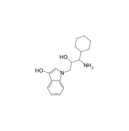 NC(C(O)Cn1cc(O)c2ccccc21)C1CCCCC1